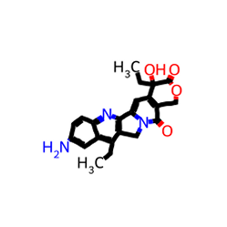 CCc1c2c(nc3ccc(N)cc13)-c1cc3c(c(=O)n1C2)COC(=O)C3(O)CC